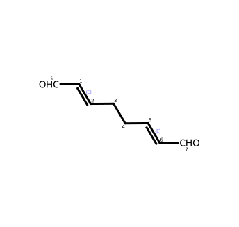 O=C/C=C/CC/C=C/C=O